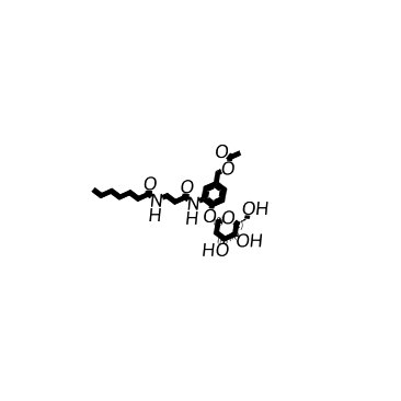 CCCCCCC(=O)NCCC(=O)Nc1cc(COC(C)=O)ccc1O[C@H]1C[C@@H](O)[C@@H](O)[C@@H](CO)O1